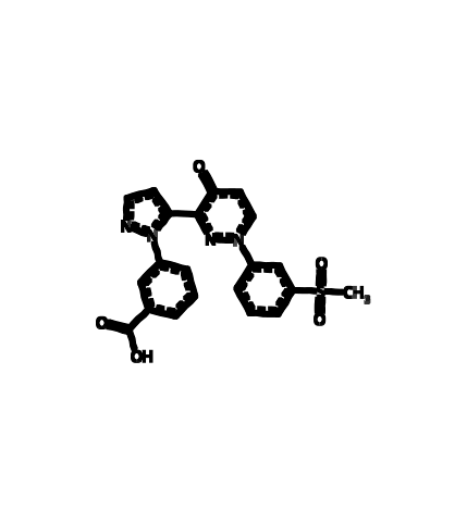 CS(=O)(=O)c1cccc(-n2ccc(=O)c(-c3ccnn3-c3cccc(C(=O)O)c3)n2)c1